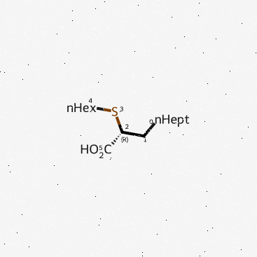 CCCCCCCC[C@@H](SCCCCCC)C(=O)O